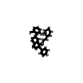 Fc1ccccc1-c1ccc2ncc(-c3ccccc3)c(OCCC3CCCCN3)c2c1